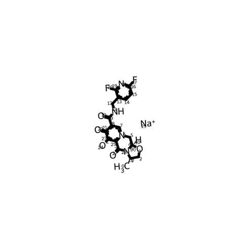 C[C@H]1CO[C@@H]2Cn3cc(C(=O)NCc4ccc(F)nc4F)c(=O)c([O-])c3C(=O)N12.[Na+]